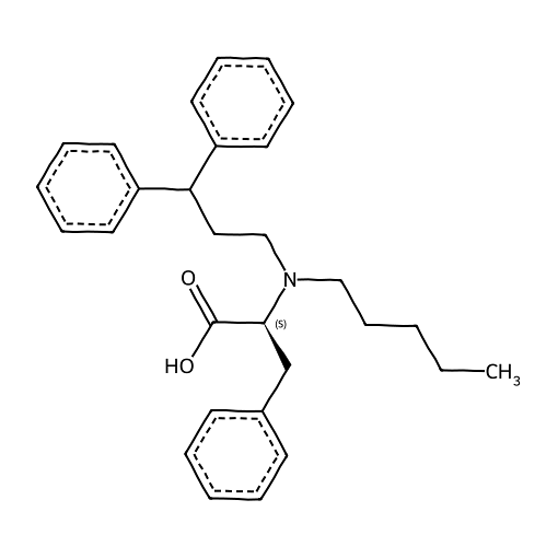 CCCCCN(CCC(c1ccccc1)c1ccccc1)[C@@H](Cc1ccccc1)C(=O)O